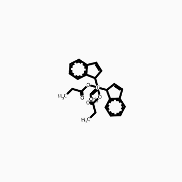 C[CH]=[Ti]([O]C(=O)CC)([O]C(=O)CC)([CH]1C=Cc2ccccc21)[CH]1C=Cc2ccccc21